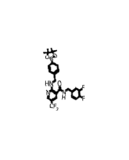 CC1(C)OB(c2ccc(CNc3ncc(C(F)(F)F)cc3C(=O)NCc3ccc(F)c(F)c3)cc2)OC1(C)C